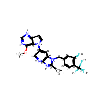 COc1ncnc2ccn(-c3cnc4nc(C)n(Cc5ccc(C(F)(F)F)c(F)c5)c4c3)c12